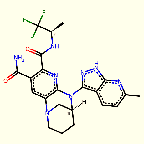 Cc1ccc2c(N3c4nc(C(=O)N[C@H](C)C(F)(F)F)c(C(N)=O)cc4N4CCC[C@H]3C4)n[nH]c2n1